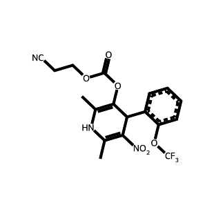 CC1=C(OC(=O)OCCC#N)C(c2ccccc2OC(F)(F)F)C([N+](=O)[O-])=C(C)N1